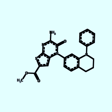 COC(=O)c1cc2c(nc(N)c(=O)n2-c2ccc3c(c2)N(c2ccccc2)CCC3)s1